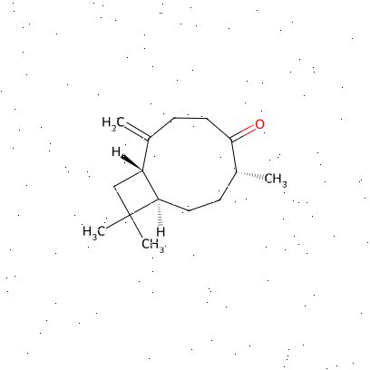 C=C1CCC(=O)[C@H](C)CC[C@@H]2[C@@H]1CC2(C)C